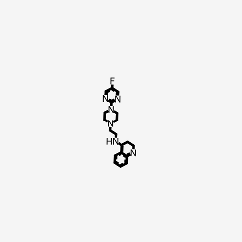 Fc1cnc(N2CCN(CCNC3=c4ccccc4=NCC3)CC2)nc1